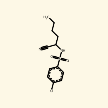 CCCCC(C#N)NS(=O)(=O)c1ccc(Cl)cc1